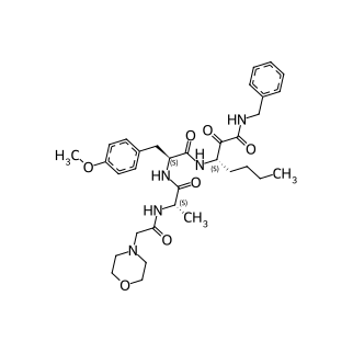 CCCC[C@H](NC(=O)[C@H](Cc1ccc(OC)cc1)NC(=O)[C@H](C)NC(=O)CN1CCOCC1)C(=O)C(=O)NCc1ccccc1